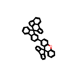 c1ccc2c(c1)Oc1ccc(-c3ccc4c(c3)C3(c5ccccc5-4)c4ccccc4-c4cccc5cccc3c45)cc1C21c2ccccc2-c2ccccc21